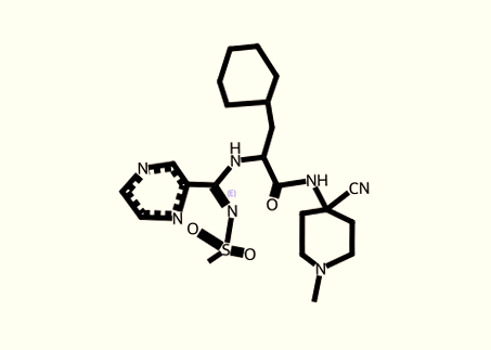 CN1CCC(C#N)(NC(=O)C(CC2CCCCC2)N/C(=N/S(C)(=O)=O)c2cnccn2)CC1